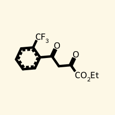 CCOC(=O)C(=O)CC(=O)c1ccccc1C(F)(F)F